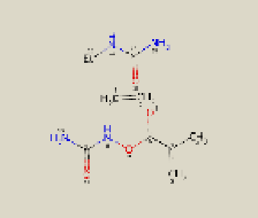 C=C.C=C(C)C(=O)ONC(N)=O.CCNC(N)=O